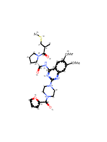 COc1cc2nc(N3CCN(C(=O)c4ccco4)CC3)nc(NC(=O)[C@@H]3CCCN3C(=O)C(C)CSC(C)=O)c2cc1OC